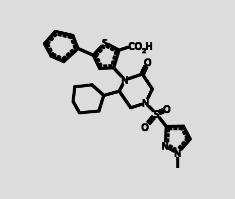 Cn1ccc(S(=O)(=O)N2CC(=O)N(c3cc(-c4ccccc4)sc3C(=O)O)C(C3CCCCC3)C2)n1